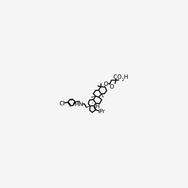 CC(C)C1=C2[C@H]3CCC4[C@@]5(C)CC[C@H](OC(=O)CC(C)(C)C(=O)O)C(C)(C)C5CC[C@@]4(C)[C@]3(C)CC[C@@]2(CCNCc2ccc(Cl)cc2)CC1